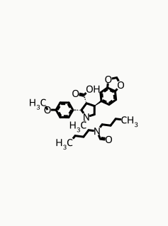 CCCCN(C=O)CCCC.COc1ccc([C@@H]2[C@H](C(=O)O)[C@@H](c3ccc4c(c3)OCO4)CN2C)cc1